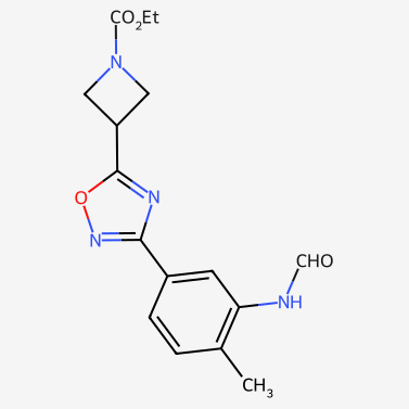 CCOC(=O)N1CC(c2nc(-c3ccc(C)c(NC=O)c3)no2)C1